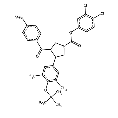 CSc1ccc(C(=O)C2CN(C(=O)Oc3ccc(Cl)c(Cl)c3)CC2c2cc(C)c(OC(C)(C)C(=O)O)c(C)c2)cc1